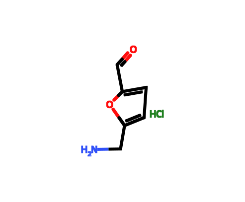 Cl.NCc1ccc(C=O)o1